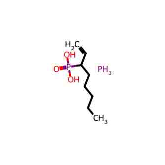 C=CC(CCCCC)P(=O)(O)O.P